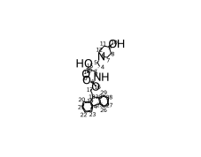 O=C(N[C@@H](CCN1CCC(O)CC1)C(=O)O)OCC1c2ccccc2-c2ccccc21